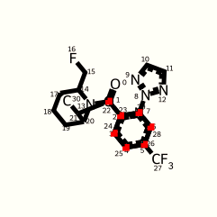 O=C(c1ccccc1-n1nccn1)N1C(CF)C2CCC1C(Oc1ccc(C(F)(F)F)cn1)C2